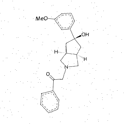 COc1cccc([C@]2(O)C[C@H]3CN(CC(=O)c4ccccc4)C[C@H]3C2)c1